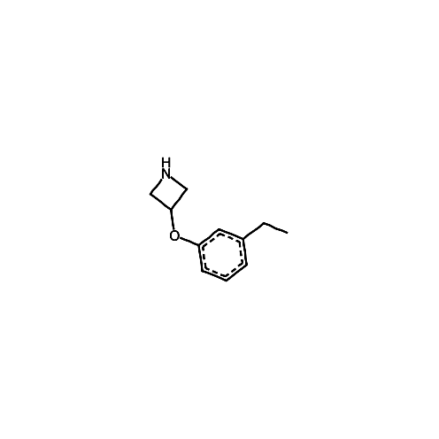 CCc1cccc(OC2CNC2)c1